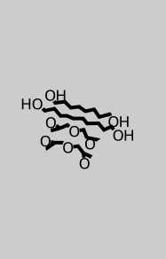 C(OCC1CO1)C1CO1.C(OCC1CO1)C1CO1.OCCCCCCCCCCO.OCCCCCCCCO